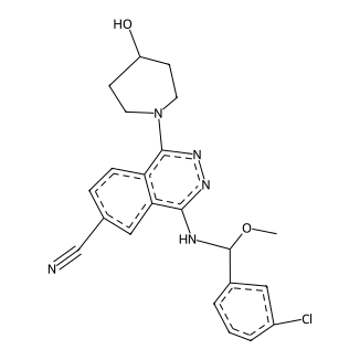 COC(Nc1nnc(N2CCC(O)CC2)c2ccc(C#N)cc12)c1cccc(Cl)c1